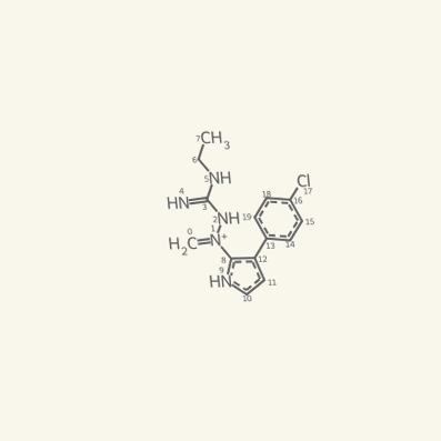 C=[N+](NC(=N)NCC)c1[nH]ccc1-c1ccc(Cl)cc1